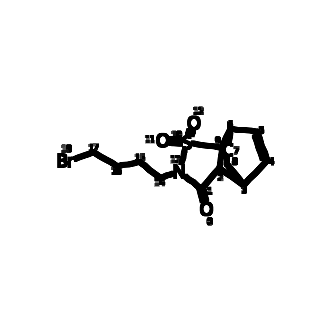 O=C1C2C3C=CC(CC3)C2S(=O)(=O)N1CCCCBr